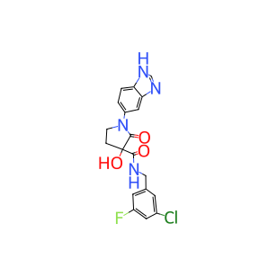 O=C(NCc1cc(F)cc(Cl)c1)C1(O)CCN(c2ccc3[nH]cnc3c2)C1=O